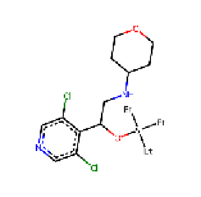 CC[Si](CC)(CC)OC(CNC1CCOCC1)c1c(Cl)cncc1Cl